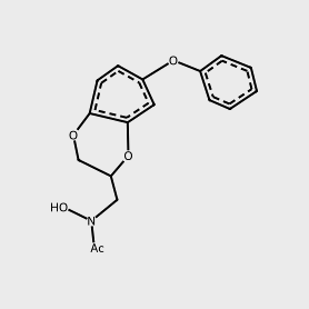 CC(=O)N(O)CC1COc2ccc(Oc3ccccc3)cc2O1